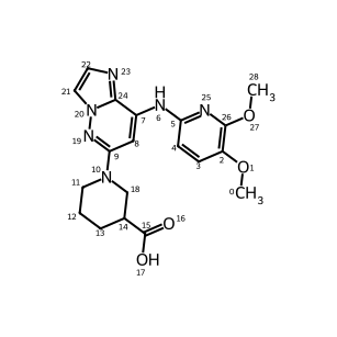 COc1ccc(Nc2cc(N3CCCC(C(=O)O)C3)nn3ccnc23)nc1OC